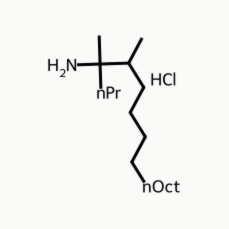 CCCCCCCCCCCCC(C)C(C)(N)CCC.Cl